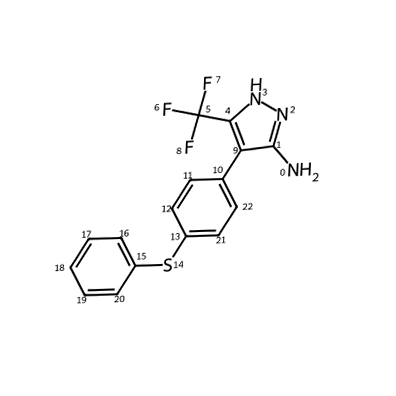 Nc1n[nH]c(C(F)(F)F)c1-c1ccc(Sc2ccccc2)cc1